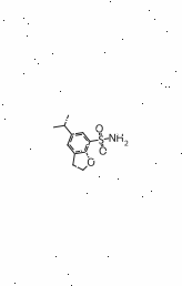 CC(C)c1cc2c(c(S(N)(=O)=O)c1)OCC2